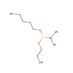 CC(C)CCCCOP(OCCC#N)N(C(C)C)C(C)C